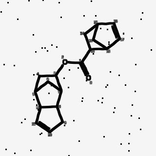 O=C(OC1CC2CC1C1CC=CC21)C1CC2C=CC1C2